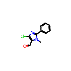 Cn1c(-c2ccccc2)nc(Cl)c1C=O